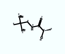 CCCCC(C)(CCC)CNC(=O)[C@H](C)Cl